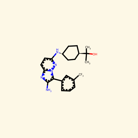 CC(C)(O)[C@H]1CC[C@H](Nc2ccc3nc(N)c(-c4cccc(C(F)(F)F)c4)n3n2)CC1